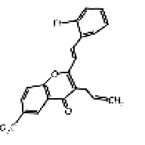 C=CCc1c(/C=C/c2ccccc2CC)oc2ccc(C(=O)O)cc2c1=O